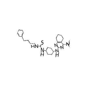 CN(C)c1nc(NC2CCC(NC(=S)NCCCCc3ccccc3)CC2)nc2c1CCCC2